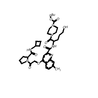 CCCCOC(=O)N1CCN(C(=O)C(CCCO)NC(=O)c2cc(OCC(=O)N3CCCC3C(=O)NC3CCC3)c3ccc(C)cc3n2)CC1